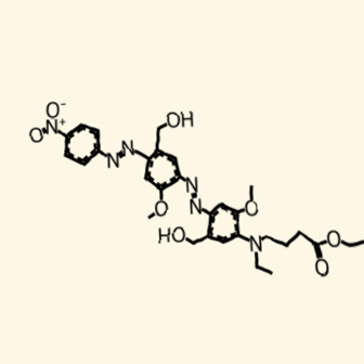 CCOC(=O)CCCN(CC)c1cc(CO)c(N=Nc2cc(CO)c(N=Nc3ccc([N+](=O)[O-])cc3)cc2OC)cc1OC